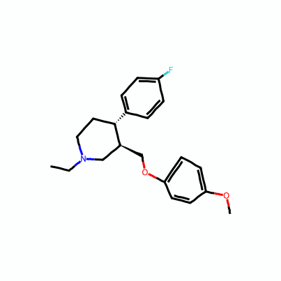 CCN1CC[C@H](c2ccc(F)cc2)[C@@H](COc2ccc(OC)cc2)C1